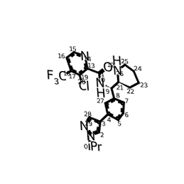 CC(C)n1cc(-c2cccc([C@H](NC(=O)c3nccc(C(F)(F)F)c3Cl)[C@@H]3CCCCN3)c2)cn1